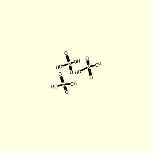 O=S(=O)(O)O.O=S(=O)(O)O.O=S(=O)(O)O